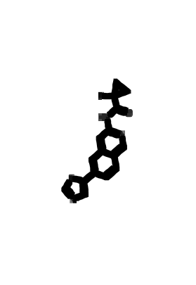 O=C(Nc1cc2cc(-c3cncs3)ccc2cn1)C1(F)CC1